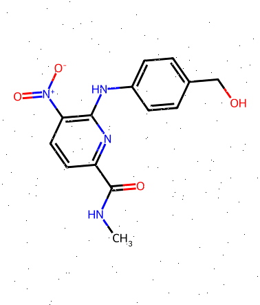 CNC(=O)c1ccc([N+](=O)[O-])c(Nc2ccc(CO)cc2)n1